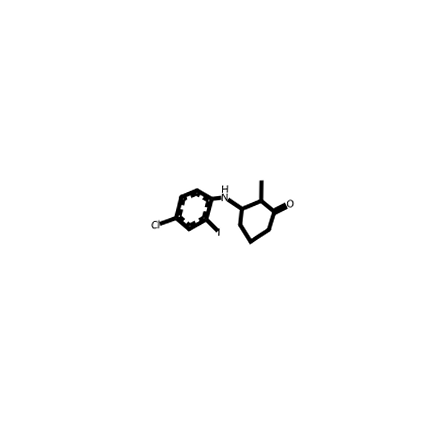 CC1C(=O)CCCC1Nc1ccc(Cl)cc1I